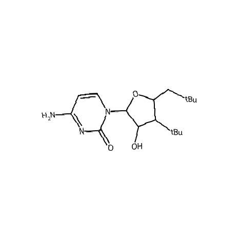 CC(C)(C)CC1OC(n2ccc(N)nc2=O)C(O)C1C(C)(C)C